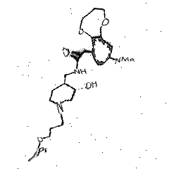 CNc1cc2c(c(C(=O)NC[C@@H]3CCN(CCCOC(C)C)C[C@H]3O)c1)OCCCO2